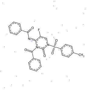 Cc1ccc(S(=O)(=O)n2cc(F)/c(=N\C(=O)c3ccccc3)n(C(=O)c3ccccc3)c2=O)cc1